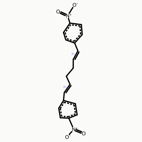 O=[N+]([O-])c1ccc(/C=C/CC/C=C/c2ccc([N+](=O)[O-])cc2)cc1